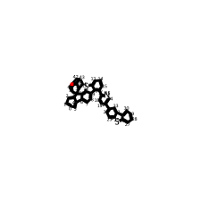 c1ccc2c(c1)-c1ccc3c(sc4cccc(-c5ccc(-c6ccc7sc8ccccc8c7c6)cn5)c43)c1C21C2CC3CC(C2)CC1C3